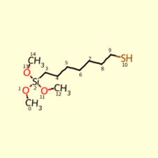 CO[Si](CCCCCCCS)(OC)OC